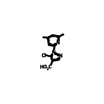 Cc1cc(C)nc(-n2ncc(C(=O)O)c2Cl)c1